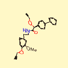 C#CCOc1ccc(CCNC(=O)C(OCC#C)c2ccc(-c3ccccc3)cc2)cc1OC